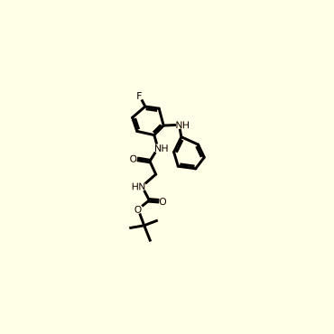 CC(C)(C)OC(=O)NCC(=O)Nc1ccc(F)cc1Nc1ccccc1